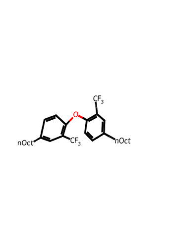 CCCCCCCCc1ccc(Oc2ccc(CCCCCCCC)cc2C(F)(F)F)c(C(F)(F)F)c1